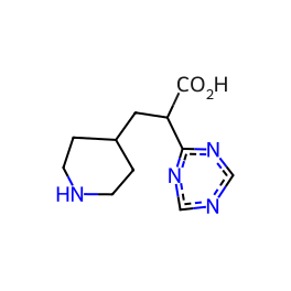 O=C(O)C(CC1CCNCC1)c1ncncn1